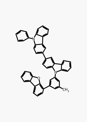 Cc1cc(-c2cccc3c2oc2ccccc23)cc(-n2c3ccccc3c3cc(-c4ccc5c(c4)c4ccccc4n5-c4ccccc4)ccc32)c1